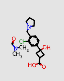 CN(C)C=O.O=C(O)C1CC(O)(c2ccc(CN3CCCC3)c(Cl)c2)C1